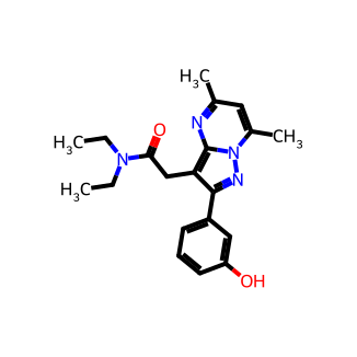 CCN(CC)C(=O)Cc1c(-c2cccc(O)c2)nn2c(C)cc(C)nc12